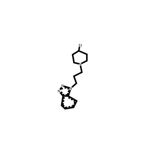 CCC1CCN(CCCn2nnc3ccccc32)CC1